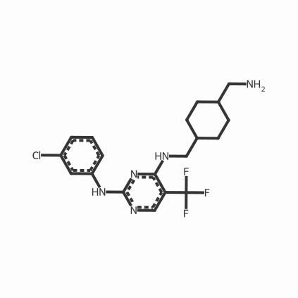 NCC1CCC(CNc2nc(Nc3cccc(Cl)c3)ncc2C(F)(F)F)CC1